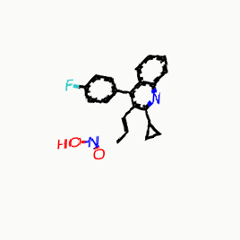 CC=Cc1c(C2CC2)nc2ccccc2c1-c1ccc(F)cc1.O=NO